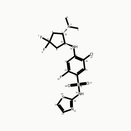 CN(C)[C@H]1CC(F)(F)C[C@@H]1Nc1cc(F)c(S(=O)(=O)Nc2nccs2)cc1Cl